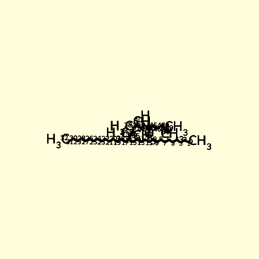 CCCCCCCCCCCCCCCCC(CCCCCCCCCCCCCCCC)=C(C)C(C)C(C)C(C)CNC(=O)CCCN(C)C